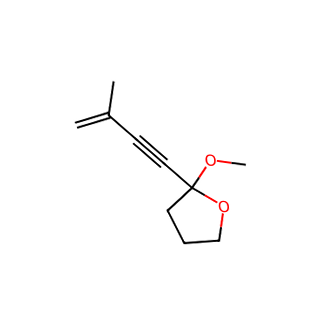 C=C(C)C#CC1(OC)CCCO1